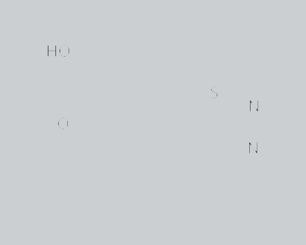 Cc1nnsc1/C=C/C(=O)O